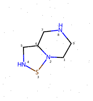 C1CN2SNC[C]2CN1